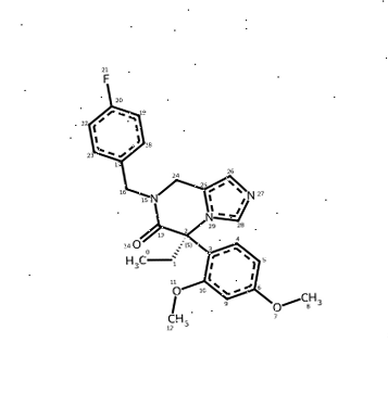 CC[C@]1(c2ccc(OC)cc2OC)C(=O)N(Cc2ccc(F)cc2)Cc2cncn21